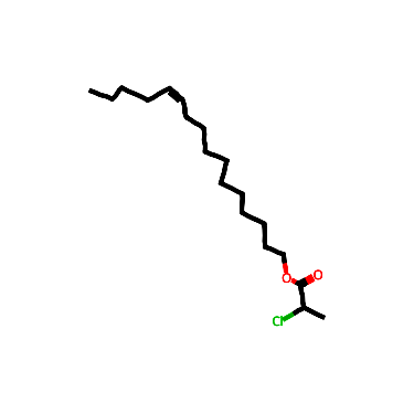 CCCC/C=C\CCCCCCCCCCOC(=O)C(C)Cl